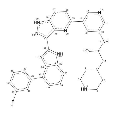 O=C(CC1CCNCC1)Nc1cncc(-c2ccc3[nH]nc(-c4nc5c(-c6cccc(F)c6)cccc5[nH]4)c3n2)c1